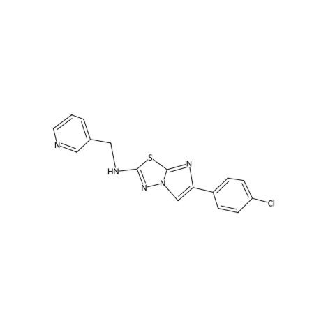 Clc1ccc(-c2cn3nc(NCc4cccnc4)sc3n2)cc1